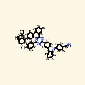 C[C@@H]1C[C@@H]2C[C@H](C)CC(c3ccc(-c4ccccc4-c4nc(-c5ccccc5)nc(-c5ccc6c(c5)c5ccccc5n6-c5ccc(C#N)cc5)n4)cc3)(C1)C2